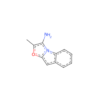 Cc1oc2cc3ccccc3n2c1N